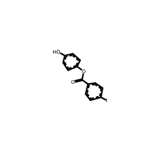 O=C(Oc1ccc(O)cc1)c1ccc(I)cc1